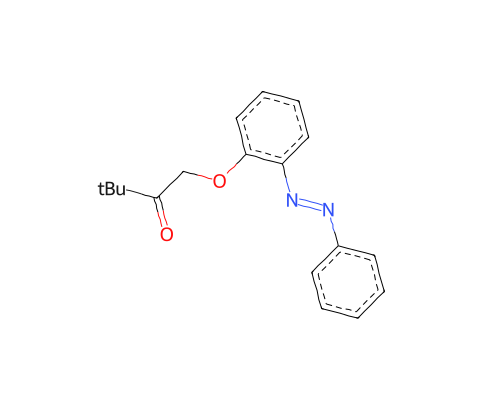 CC(C)(C)C(=O)COc1ccccc1N=Nc1ccccc1